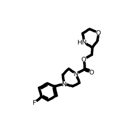 O=C(OCC1COCCN1)N1CCN(c2ccc(F)cc2)CC1